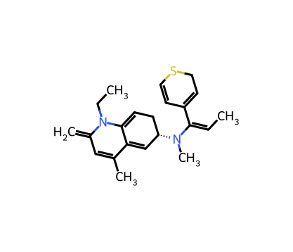 C=C1C=C(C)C2=C[C@@H](N(C)/C(=C/C)C3=CCSC=C3)CC=C2N1CC